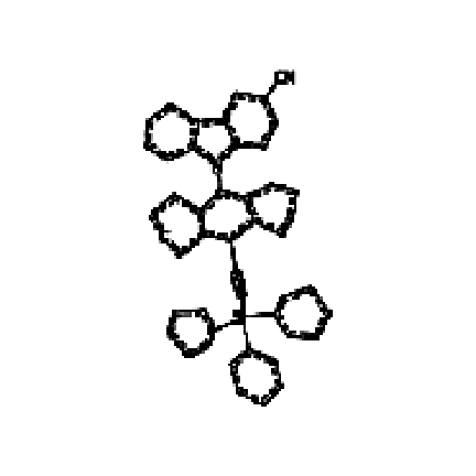 N#Cc1ccc2c(c1)c1ccccc1n2-c1c2ccccc2c(C#C[Si](c2ccccc2)(c2ccccc2)c2ccccc2)c2ccccc12